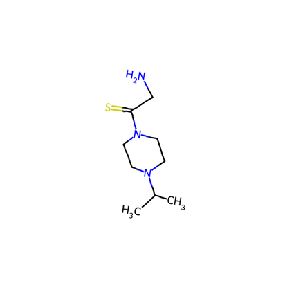 CC(C)N1CCN(C(=S)CN)CC1